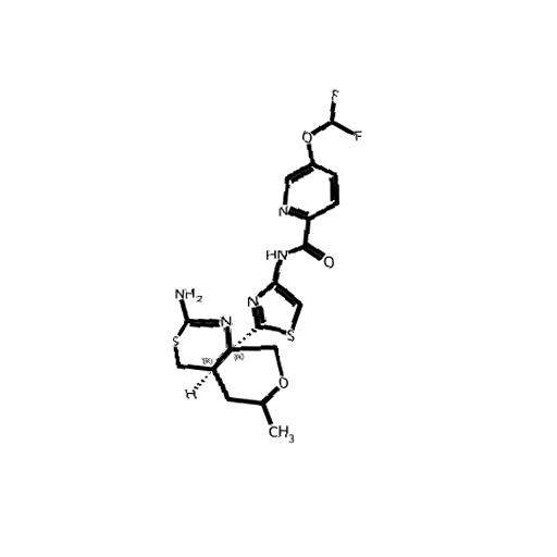 CC1C[C@H]2CSC(N)=N[C@@]2(c2nc(NC(=O)c3ccc(OC(F)F)cn3)cs2)CO1